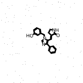 O=C1NCC/C1=C\c1c(-c2ccccc2)ncn1Cc1cccc(O)c1